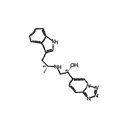 C[C@H](Cc1c[nH]c2ccccc12)NC[C@H](O)c1ccc2nnnn2c1